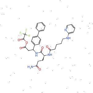 NC(=O)CC[C@H](NC(=O)CCCCNc1ccccn1)C(=O)NC(CC(=O)OC(=O)C(F)(F)F)c1ccc(-c2ccccc2)cc1